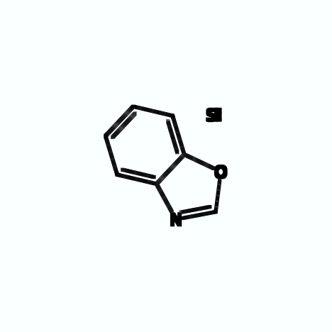 [Si].c1ccc2ocnc2c1